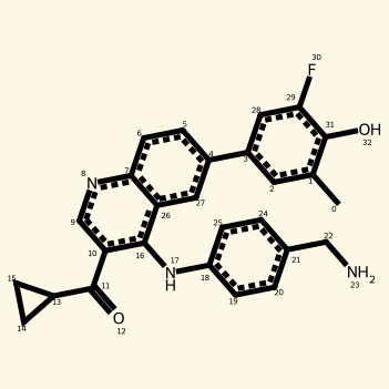 Cc1cc(-c2ccc3ncc(C(=O)C4CC4)c(Nc4ccc(CN)cc4)c3c2)cc(F)c1O